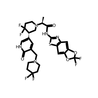 C[C@@H](C(=O)Nc1nc2cc3c(cc2s1)OC(F)(F)O3)N1CCC(F)(F)[C@@H](c2c[nH]c(=O)c(CN3CCC(F)(F)CC3)c2)C1